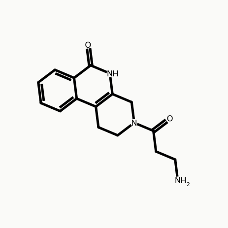 NCCC(=O)N1CCc2c([nH]c(=O)c3ccccc23)C1